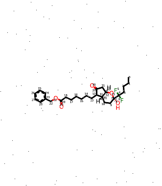 CCCCC(F)(F)[C@@]1(O)CC[C@@H]2C(CCCCCCC(=O)OCc3ccccc3)C(=O)C[C@H]2O1